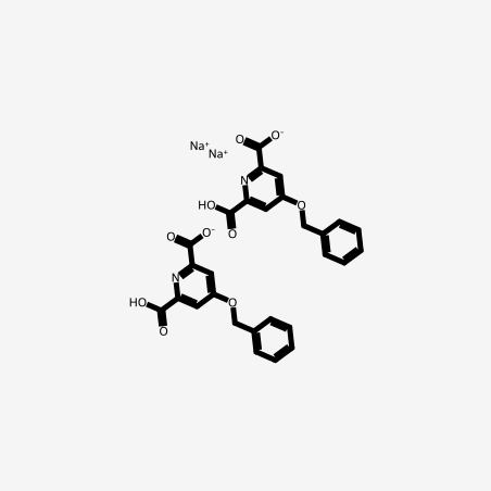 O=C([O-])c1cc(OCc2ccccc2)cc(C(=O)O)n1.O=C([O-])c1cc(OCc2ccccc2)cc(C(=O)O)n1.[Na+].[Na+]